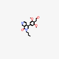 CCCCn1cc(-c2cc(OC)c(CC=O)c(OC)c2)c2ccncc2c1=O